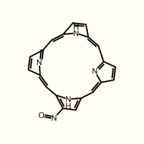 O=Nc1cc2cc3nc(cc4ccc(cc5nc(cc1[nH]2)C=C5)[nH]4)C=C3